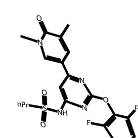 CCCS(=O)(=O)Nc1cc(-c2cc(C)c(=O)n(C)c2)nc(Oc2c(F)cccc2F)n1